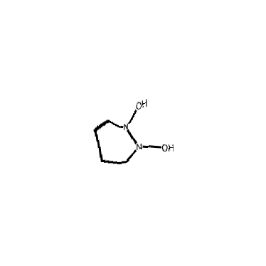 ON1CCCCN1O